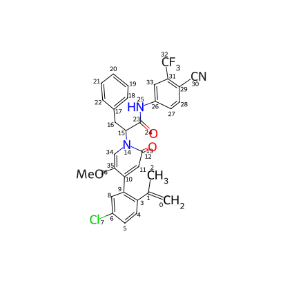 C=C(C)c1ccc(Cl)cc1-c1cc(=O)n(C(Cc2ccccc2)C(=O)Nc2ccc(C#N)c(C(F)(F)F)c2)cc1OC